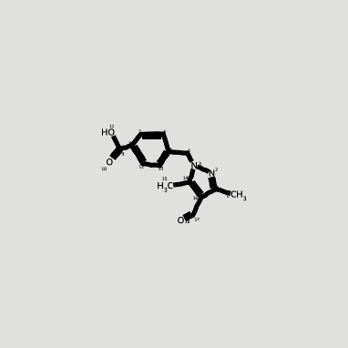 Cc1nn(Cc2ccc(C(=O)O)cc2)c(C)c1C=O